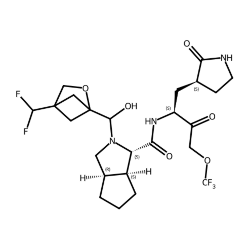 O=C1NCC[C@H]1C[C@H](NC(=O)[C@@H]1[C@H]2CCC[C@H]2CN1C(O)C12CC(C(F)F)(CO1)C2)C(=O)COC(F)(F)F